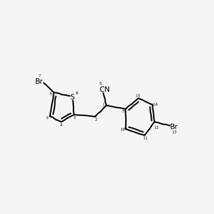 N#CC(Cc1ccc(Br)s1)c1ccc(Br)cc1